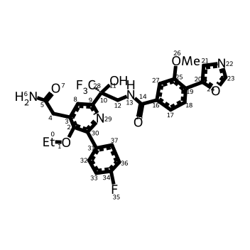 CCOc1c(CC(N)=O)cc([C@@](O)(CNC(=O)c2ccc(-c3cnco3)c(OC)c2)C(F)(F)F)nc1-c1ccc(F)cc1